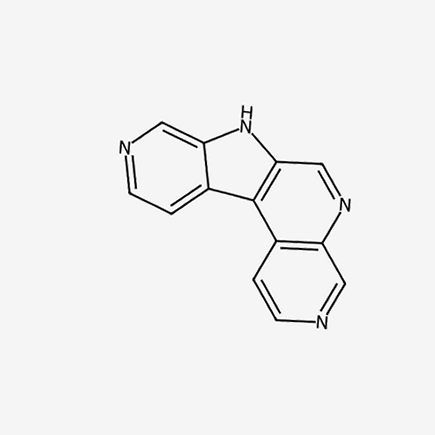 c1cc2c(cn1)ncc1[nH]c3cnccc3c12